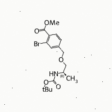 COC(=O)c1ccc(COC[C@@H](C)NC(=O)OC(C)(C)C)cc1Br